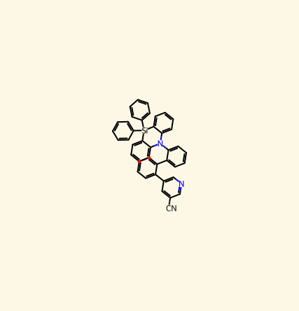 N#Cc1cncc(-c2ccccc2-c2ccccc2N2c3ccccc3[Si](c3ccccc3)(c3ccccc3)c3ccccc32)c1